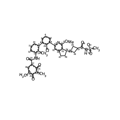 COc1nc(-c2cccc(-c3cccc(NC(=O)c4cn(C)c(=O)n(C)c4=O)c3C)c2Cl)cc2c1C(N1CC(C(=O)NS(C)(=O)=O)C1)CC2